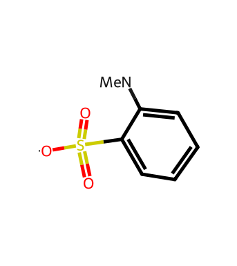 CNc1ccccc1S([O])(=O)=O